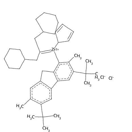 Cc1cc2c(cc1C(C)(C)C)-c1cc(C(C)(C)C)c(C)[c]([Zr+2](=[C](CC3CCCCC3)CC3CCCCC3)[CH]3C=CC=C3)c1C2.[Cl-].[Cl-]